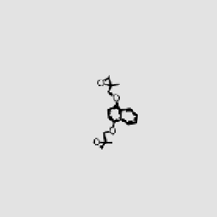 CC1(COc2ccc(OCC3(C)CO3)c3ccccc23)CO1